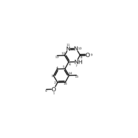 COc1ccc(-c2[nH]c(=O)nnc2C)c(C)c1